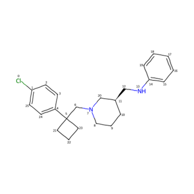 Clc1ccc(C2(CN3CCC[C@H](CNc4ccccc4)C3)CCC2)cc1